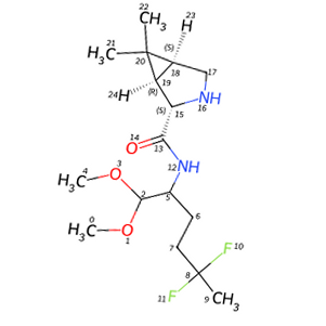 COC(OC)C(CCC(C)(F)F)NC(=O)[C@H]1NC[C@H]2[C@@H]1C2(C)C